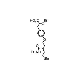 CCNC(=O)N(CCOc1ccc(CC(OCC)C(=O)O)cc1)CCC(C)(C)C